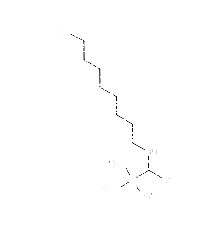 CCCCCCCCCCCCCCCCCCNC(CC)[Si](OC)(OC)OC.Cl